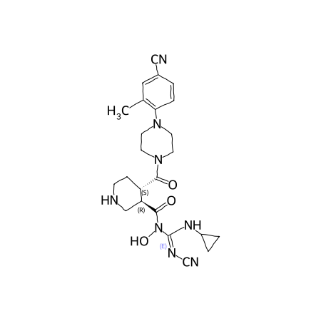 Cc1cc(C#N)ccc1N1CCN(C(=O)[C@H]2CCNC[C@@H]2C(=O)N(O)/C(=N/C#N)NC2CC2)CC1